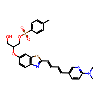 Cc1ccc(S(=O)(=O)OCC(CO)Oc2ccc3nc(C=CC=Cc4ccc(N(C)C)nc4)sc3c2)cc1